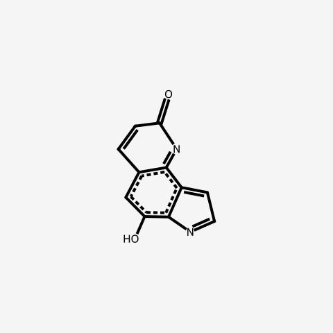 O=C1C=Cc2cc(O)c3c(c2=N1)=CC=N3